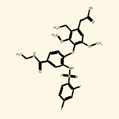 CCNC(=O)c1ccc(Oc2c(OC)cc(CC(=O)O)c(CC)c2OC)c(NS(=O)(=O)c2ccc(F)cc2F)c1